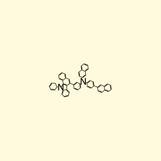 C1=CCC(n2c3ccccc3c3c(-c4cccc(N(c5ccc(-c6ccc7ccccc7c6)cc5)c5ccc6ccccc6c5)c4)cc4ccccc4c32)C=C1